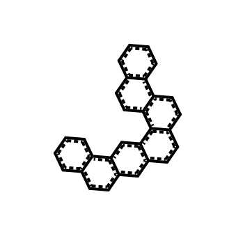 c1ccc2c(c1)ccc1cc3ccc4ccc5c6ccccc6ccc5c4c3cc12